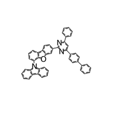 c1ccc(-c2ccc(-c3cc(-c4ccccc4)nc(-c4ccc5c(c4)oc4c(-n6c7ccccc7c7ccccc76)cccc45)n3)cc2)cc1